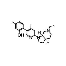 CCN1CC[C@H]2CCN(c3cc(C)c(-c4ccc(C)cc4O)nn3)[C@H]2C1